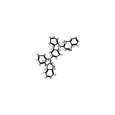 c1ccc2nc(-n3c4ccccc4c4cc(-n5c6ccccc6n6c7ccccc7nc56)ccc43)cnc2c1